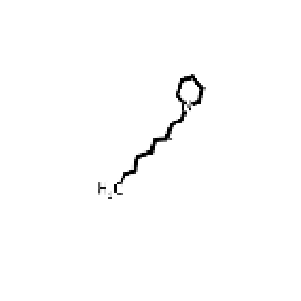 CCCCCC[CH]CCN1CCCCC1